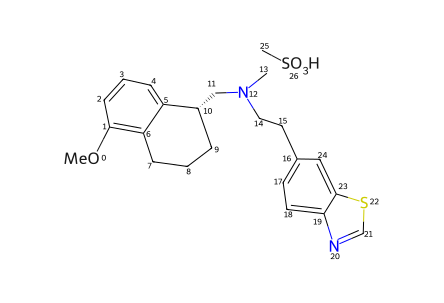 COc1cccc2c1CCC[C@H]2CN(C)CCc1ccc2ncsc2c1.CS(=O)(=O)O